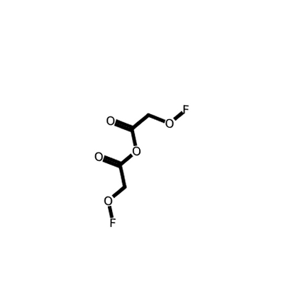 O=C(COF)OC(=O)COF